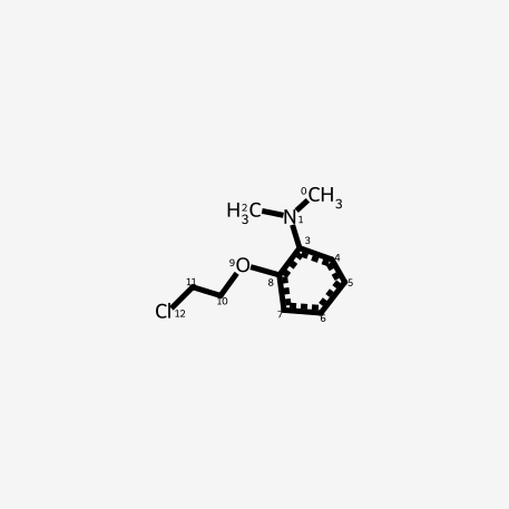 CN(C)c1ccccc1OCCCl